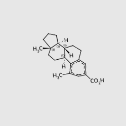 Cc1cc(C(=O)O)cc2c1[C@H]1CC[C@]3(C)CCC[C@H]3[C@@H]1CC2